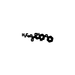 CCOC(=O)C(O)=Cc1ccc(Oc2ccccc2)cn1